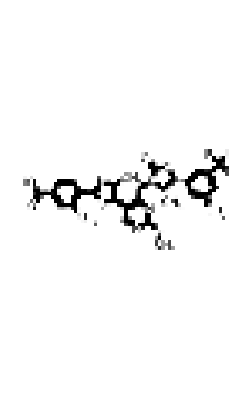 CSc1ncc(-c2sc(-c3ccc(C(=O)O)cc3C)nc2C)c(CN2C(=O)O[C@H](c3cc(C)cc(C(F)(F)F)c3)[C@@H]2C)n1